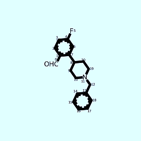 O=Cc1c[c]c(F)cc1C1CCN(Cc2ccccc2)CC1